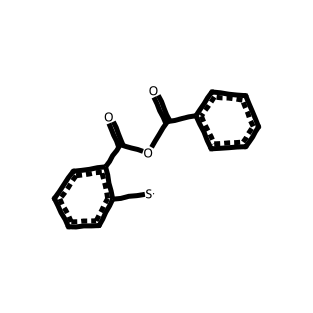 O=C(OC(=O)c1ccccc1[S])c1ccccc1